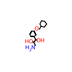 NC[C@@H](O)[C@H](O)c1cccc(OCC2CCCCC2)c1